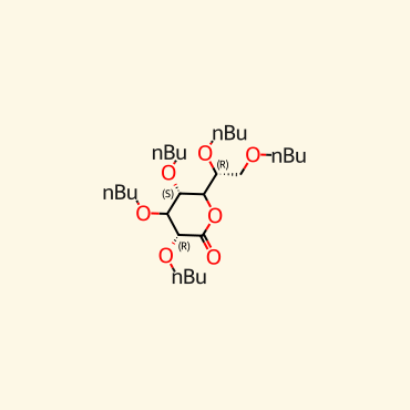 CCCCOC[C@@H](OCCCC)C1OC(=O)[C@H](OCCCC)C(OCCCC)[C@@H]1OCCCC